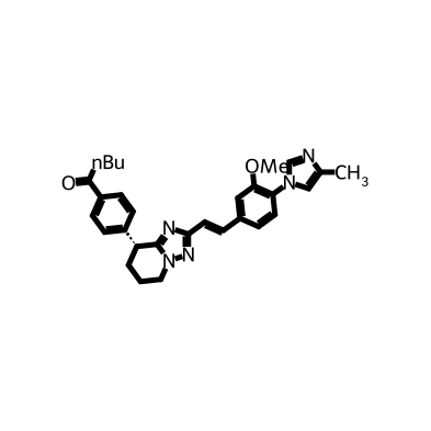 CCCCC(=O)c1ccc([C@H]2CCCn3nc(/C=C/c4ccc(-n5cnc(C)c5)c(OC)c4)nc32)cc1